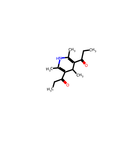 CCC(=O)C1=C(C)NC(C)=C(C(=O)CC)C1C